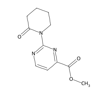 COC(=O)c1ccnc(N2CCCCC2=O)n1